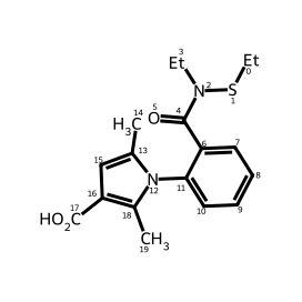 CCSN(CC)C(=O)c1ccccc1-n1c(C)cc(C(=O)O)c1C